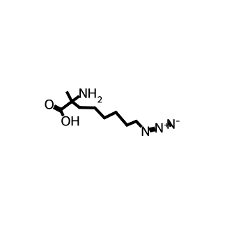 CC(N)(CCCCCCN=[N+]=[N-])C(=O)O